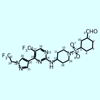 O=CC1CCCC(S(=O)(=O)N2CCC(Nc3ncc(C(F)(F)F)c(-c4cnn(CC(F)(F)F)c4)n3)CC2)C1